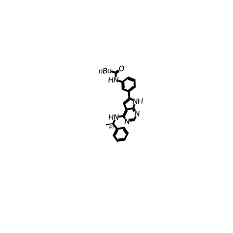 CCCCC(=O)Nc1cccc(-c2cc3c(N[C@H](C)c4ccccc4)ncnc3[nH]2)c1